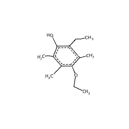 CCOc1c(C)c(C)c(O)c(CC)c1C